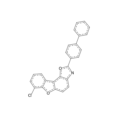 Clc1cccc2c1oc1ccc3nc(-c4ccc(-c5ccccc5)cc4)oc3c12